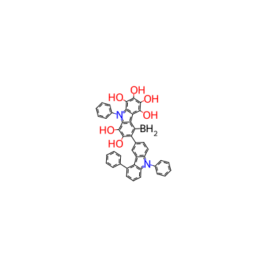 Bc1c(-c2ccc3c(c2)c2c(-c4ccccc4)cccc2n3-c2ccccc2)c(O)c(O)c2c1c1c(O)c(O)c(O)c(O)c1n2-c1ccccc1